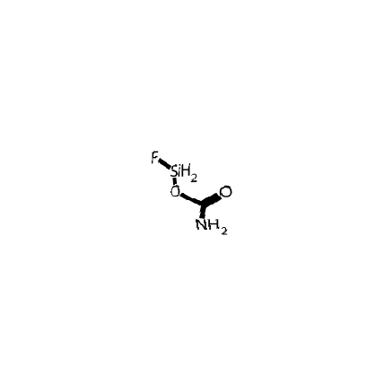 NC(=O)O[SiH2]F